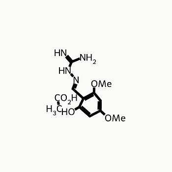 CC(=O)O.COc1cc(O)c(C=NNC(=N)N)c(OC)c1